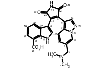 CN(C)Cc1ccc2c(C3=C(c4c[nH]c5c(C(=O)O)cccc45)C(=O)NC3=O)cnn2c1